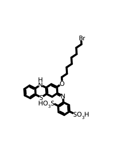 O=S(=O)(O)c1ccc(S(=O)(=O)O)c(N=C2CC3=C(C=C2OCCCCCCCCBr)Nc2ccccc2S3)c1